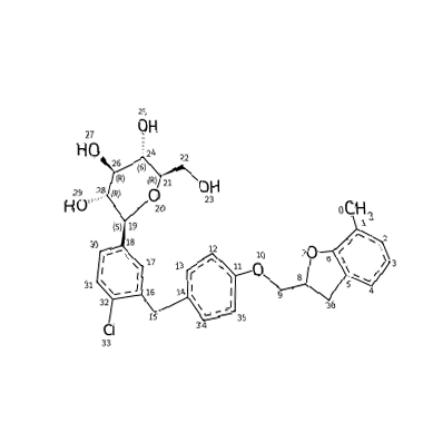 Cc1cccc2c1OC(COc1ccc(Cc3cc([C@@H]4O[C@H](CO)[C@@H](O)[C@H](O)[C@H]4O)ccc3Cl)cc1)C2